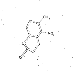 Cc1ccc2oc(=O)ccc2c1[N+](=O)[O-]